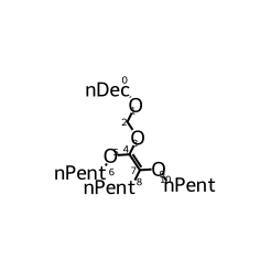 CCCCCCCCCCOCOC(OCCCCC)=C(CCCCC)OCCCCC